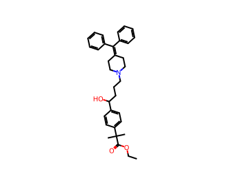 CCOC(=O)C(C)(C)c1ccc(C(O)CCCN2CCC(=C(c3ccccc3)c3ccccc3)CC2)cc1